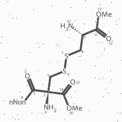 CCCCCCCCCC(=O)[C@](N)(CSSC[C@H](N)C(=O)OC)C(=O)OC